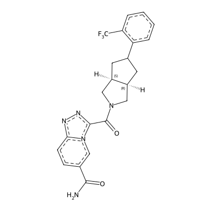 NC(=O)c1ccc2nnc(C(=O)N3C[C@H]4CC(c5ccccc5C(F)(F)F)C[C@H]4C3)n2c1